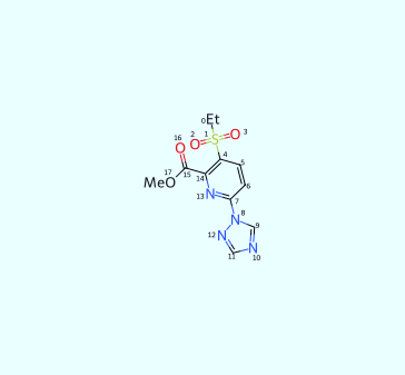 CCS(=O)(=O)c1ccc(-n2cncn2)nc1C(=O)OC